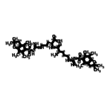 Cc1c(C)c(S(=O)(=O)NC(=N)NCCC[C@H](NC(=O)[C@@H](N)CCCNC(=N)NS(=O)(=O)c2c(C)c(C)c3c(c2C)CC(C)(C)O3)C(=O)O)c(C)c2c1OC(C)(C)C2